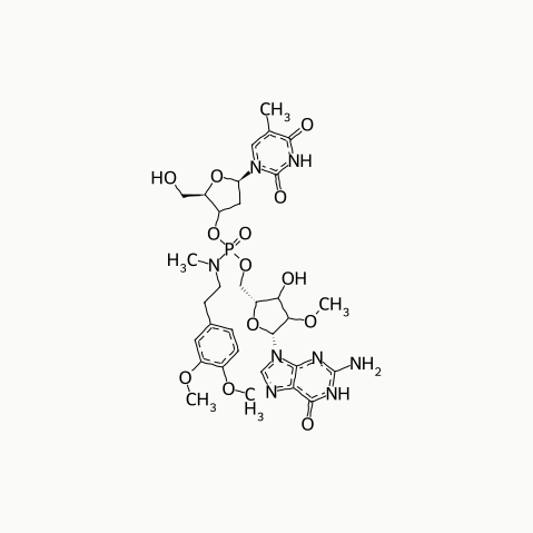 COc1ccc(CCN(C)P(=O)(OC[C@H]2O[C@@H](n3cnc4c(=O)[nH]c(N)nc43)C(OC)C2O)OC2C[C@H](n3cc(C)c(=O)[nH]c3=O)O[C@@H]2CO)cc1OC